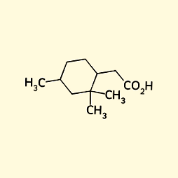 CC1CCC(CC(=O)O)C(C)(C)C1